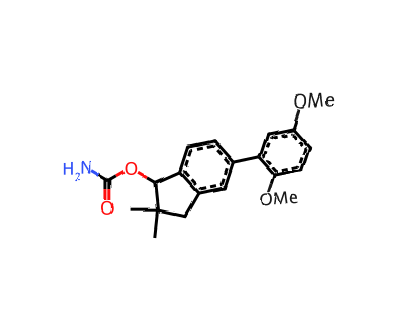 COc1ccc(OC)c(-c2ccc3c(c2)CC(C)(C)C3OC(N)=O)c1